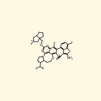 C[C@H]1CN2CCCC2(COc2nc3c4c(c(Cl)c(-c5ccc(F)c6sc(N)c(C#N)c56)c(F)c4n2)OCCC2C(C(F)F)CCN32)C1